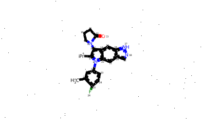 Cc1cc(-n2c(C(C)C)c(N3CCCC3=O)c3cc4[nH]ncc4cc32)ccc1F